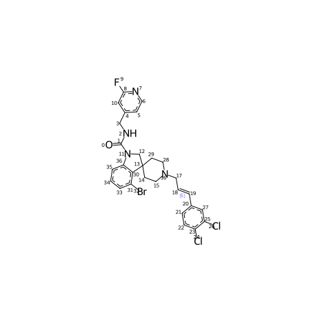 O=C(NCc1ccnc(F)c1)N1CC2(CCN(C/C=C/c3ccc(Cl)c(Cl)c3)CC2)c2c(Br)cccc21